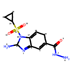 NNC(=O)C1=CC2=NC(N)N(S(=O)(=O)C3CC3)C2=CC1